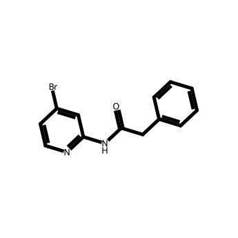 O=C(Cc1ccccc1)Nc1cc(Br)ccn1